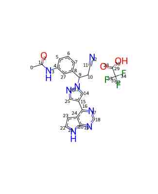 CC(=O)Nc1cccc(C(CC#N)n2cc(-c3ncnc4[nH]ccc34)cn2)c1.O=C(O)C(F)(F)F